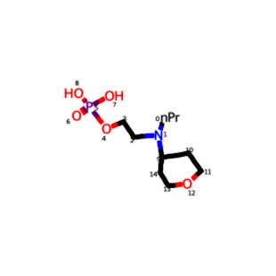 CCCN(CCOP(=O)(O)O)C1CCOCC1